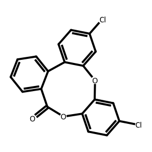 O=c1oc2ccc(Cl)cc2oc2cc(Cl)ccc2c2ccccc12